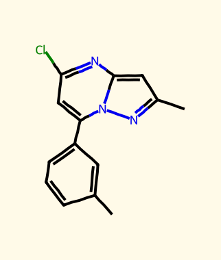 Cc1cccc(-c2cc(Cl)nc3cc(C)nn23)c1